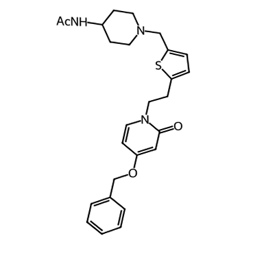 CC(=O)NC1CCN(Cc2ccc(CCn3ccc(OCc4ccccc4)cc3=O)s2)CC1